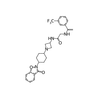 C=C(NCC(=O)NC1CN(C2CCC(n3oc4ccccc4c3=O)CC2)C1)c1cccc(C(F)(F)F)c1